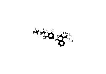 CC(C)=C(C(=O)O)c1ccccc1COc1cc(Cl)c(OC(F)(F)C(F)OC(F)(F)F)c(Cl)c1